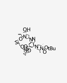 C=CC(=O)N1C[C@H](n2ncc3c(N4C[C@H](C)N(C(=O)OC(C)(C)C)[C@@H](C)C4)cc(S(=O)(=O)N(COCC[Si](C)(C)C)C4(C)CC4)cc32)C[C@H]1C(C)(C)O